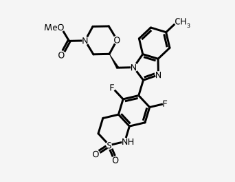 COC(=O)N1CCO[C@@H](Cn2c(-c3c(F)cc4c(c3F)CCS(=O)(=O)N4)nc3cc(C)ccc32)C1